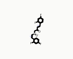 O=C(/C=C/c1ccc(F)cc1F)C[S+]([O-])/C=C\c1ccc(F)cc1F